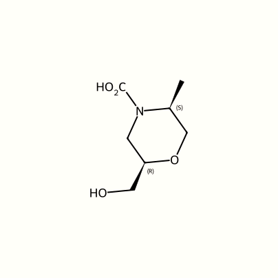 C[C@H]1CO[C@@H](CO)CN1C(=O)O